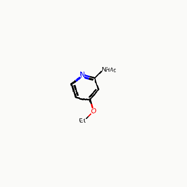 CCOc1ccnc(NC(C)=O)c1